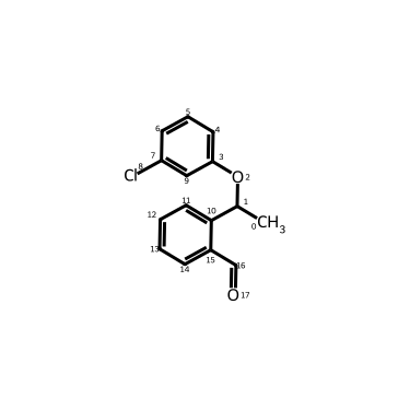 CC(Oc1cccc(Cl)c1)c1ccccc1C=O